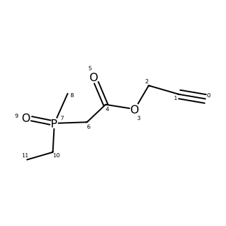 C#CCOC(=O)CP(C)(=O)CC